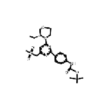 CC[C@H]1COCCN1c1cc(CS(C)(=O)=O)nc(-c2ccc(NC(=O)OC(C)(C)C)cc2)n1